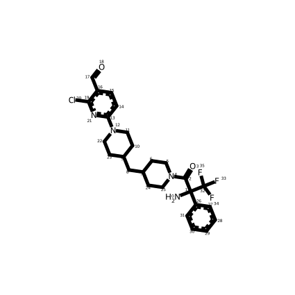 NC(C(=O)N1CCC(CC2CCN(c3ccc(C=O)c(Cl)n3)CC2)CC1)(c1ccccc1)C(F)(F)F